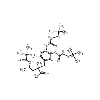 C[C@@H](CC(N)(Cc1ccc(OC(=O)OCC(C)(C)C)c(OC(=O)OCC(C)(C)C)c1)C(=O)O)OC(=O)C(C)(C)C